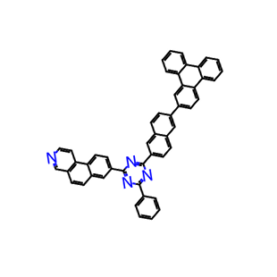 c1ccc(-c2nc(-c3ccc4cc(-c5ccc6c7ccccc7c7ccccc7c6c5)ccc4c3)nc(-c3ccc4c(ccc5cnccc54)c3)n2)cc1